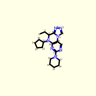 CCC1c2nncn2-c2cnc(N3CCCCC3)nc2N1C1CCCC1